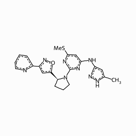 CSc1cc(Nc2cc(C)[nH]n2)nc(N2CCC[C@H]2c2cc(-c3ccccn3)no2)n1